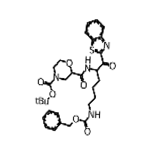 CC(C)(C)OC(=O)N1CCOC(C(=O)NC(CCCCNC(=O)OCc2ccccc2)C(=O)c2nc3ccccc3s2)C1